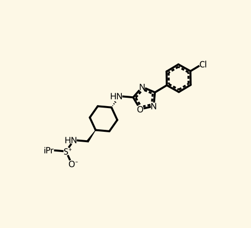 CC(C)[S+]([O-])NC[C@H]1CC[C@H](Nc2nc(-c3ccc(Cl)cc3)no2)CC1